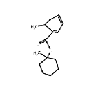 CC1CC=CC=C1C(=O)OC1(C)CCCCC1